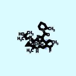 C=C(/C=C(\C(=C/C)c1sc(C(=O)NCC(C)(C)O)nc1C(=O)N1CCCCC1C)C(F)F)NC(C)(C)C1CC1